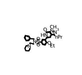 CCCc1nn(C)c2c(=O)[nH]c(-c3cc(S(=O)(=O)N(CCN4CCCCC4)Cc4ccccc4)ccc3OCC)cc12